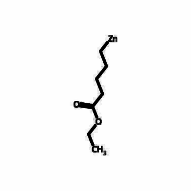 CCOC(=O)CCC[CH2][Zn]